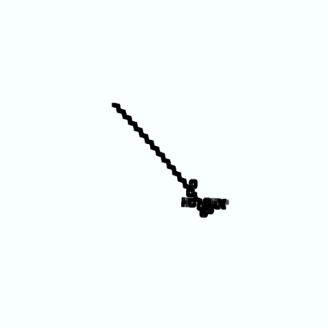 CCCCCCCCCCCCCCCCCCCCCCCCCCCC(=O)OC[C@@H](O)COP(=O)(O)OCC[N+](C)(C)C